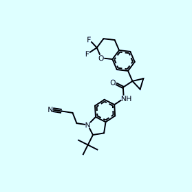 CC(C)(C)C1Cc2cc(NC(=O)C3(c4ccc5c(c4)OC(F)(F)CC5)CC3)ccc2N1CCC#N